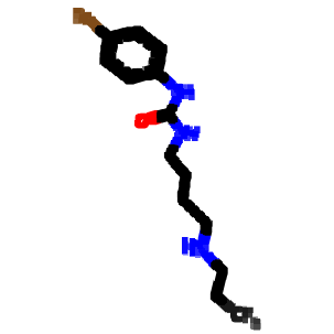 O=C(NCCCCNCCC(F)(F)F)Nc1ccc(Br)cc1